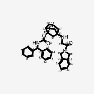 O=C(NC(c1ccccc1)c1ccccc1)OC12CC3CC1CC(NCC(=O)N1Cc4ccccc4C1)(C3)C2